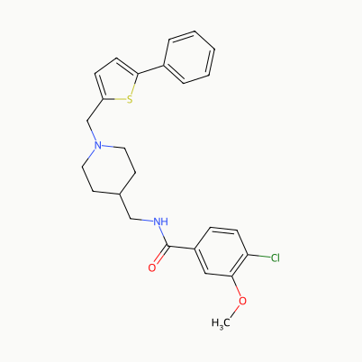 COc1cc(C(=O)NCC2CCN(Cc3ccc(-c4ccccc4)s3)CC2)ccc1Cl